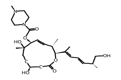 C/C(=C\C=C\[C@@H](C)CO)[C@H]1OC(=O)C[C@@H](O)CC[C@](C)(O)[C@@H](OC(=O)N2CCN(C)CC2)/C=C/[C@@H]1C